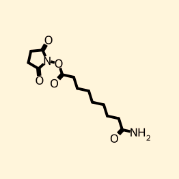 NC(=O)CCCCCCCC(=O)ON1C(=O)CCC1=O